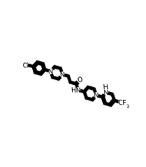 O=C(CCN1CCN(c2ccc(Cl)cc2)CC1)NC1CCN(C2=CC=C(C(F)(F)F)CN2)CC1